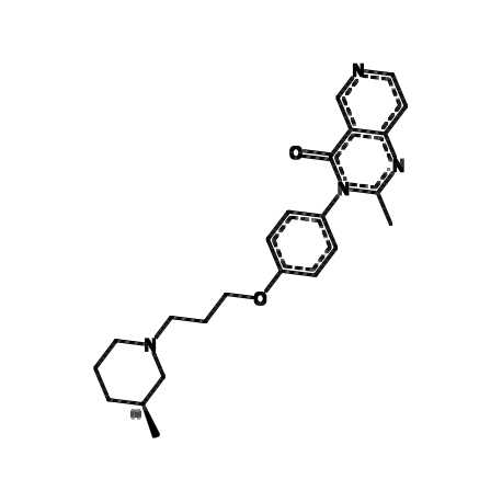 Cc1nc2ccncc2c(=O)n1-c1ccc(OCCCN2CCC[C@H](C)C2)cc1